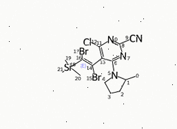 CC1CCCN1c1nc(C#N)nc(Cl)c1/C(Br)=C(\Br)[Si](C)(C)C